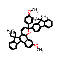 CCC1(CC)c2ccccc2-c2c1c1c(c3cc(OC)ccc23)OC(c2ccc(OC)cc2)(c2ccc3c(c2)C(C)(C)c2ccccc2-3)C=C1